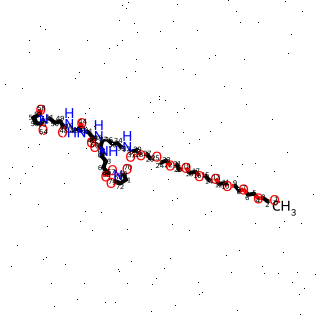 COCCOCCOCCOCCOCCOCCOCCOCCOCCOCC(=O)NCCCC[C@H](NC(=O)CNC(=O)CNC(=O)CCCN1C(=O)C=CC1=O)C(=O)NCCCC(=O)ON1C(=O)CCC1=O